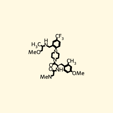 CNCC(=O)N[C@H](Cc1ccc(OC)cc1C)C(=O)N1CCN(c2ccc(C(F)(F)F)cc2CNC(C)COC)CC1